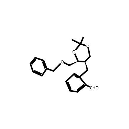 CC1(C)OC[C@@H](Cc2ccccc2C=O)[C@@H](COCc2ccccc2)O1